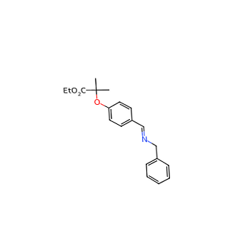 CCOC(=O)C(C)(C)Oc1ccc(C=NCc2ccccc2)cc1